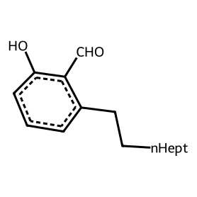 CCCCCCCCCc1cccc(O)c1C=O